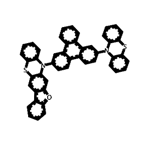 c1ccc2c(c1)Sc1ccccc1N2c1ccc2c3ccc(N4c5ccccc5Sc5cc6c(cc54)oc4ccccc46)cc3c3ccccc3c2c1